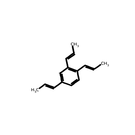 CC=Cc1[c]c(C=CC)c(C=CC)cc1